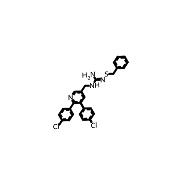 N/C(=N\SCc1ccccc1)NCc1cnc(-c2ccc(Cl)cc2)c(-c2ccc(Cl)cc2)c1